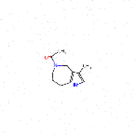 CC(=O)N1CCCc2[nH]cc(C)c2C1